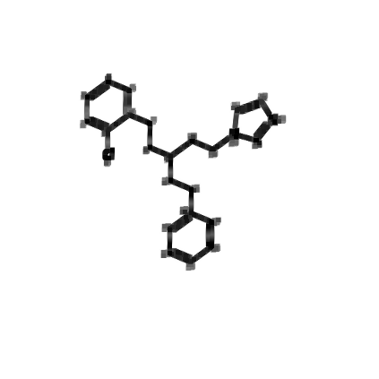 Clc1ccccc1CCC(CCc1ccccc1)CCn1ccnc1